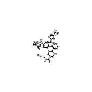 CN(CCO)C(=O)N1CCC(c2ncnc3c2c2ccc(S(=O)(=O)NC4(C#N)CC4)cc2n3-c2nnc(C(F)F)s2)CC1